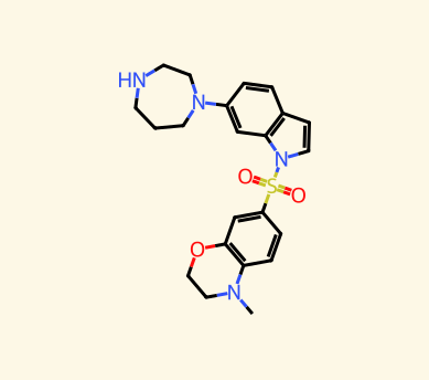 CN1CCOc2cc(S(=O)(=O)n3ccc4ccc(N5CCCNCC5)cc43)ccc21